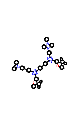 c1ccc(N2c3ccccc3N(c3ccc(-c4nc(-c5ccc(-c6ccc(-c7nc(-c8ccc(-c9ccc(-n%10c%11ccccc%11c%11ccccc%11%10)cc9)cc8)nc(-c8ccc9c(c8)Oc8ccccc8C98c9ccccc9-c9ccccc98)n7)cc6)cc5)nc(-c5ccc6c(c5)Oc5ccccc5C65c6ccccc6-c6ccccc65)n4)cc3)c3ccccc32)cc1